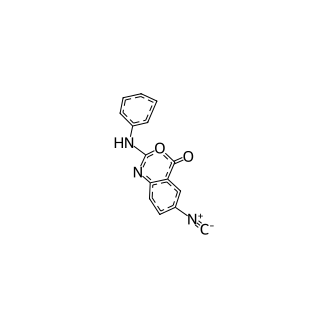 [C-]#[N+]c1ccc2nc(Nc3ccccc3)oc(=O)c2c1